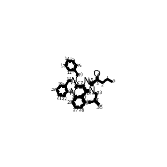 CCCC(=O)c1nc2c(N(Cc3ccccc3)Cc3ccccc3)nc3ccccc3c2n1CC(C)C